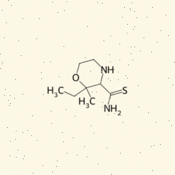 CCC1(C)OCCNC1C(N)=S